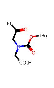 CCC(=O)CN(CC(=O)O)C(=O)OC(C)(C)C